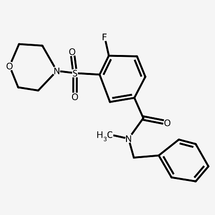 CN(Cc1ccccc1)C(=O)c1ccc(F)c(S(=O)(=O)N2CCOCC2)c1